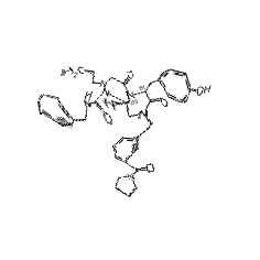 C=CCN1CC(=O)N2[C@@H](Cc3ccc(O)cc3)C(=O)N(Cc3cccc(C(=O)N4CCCC4)c3)C[C@@H]2N1C(=O)NCc1ccccc1